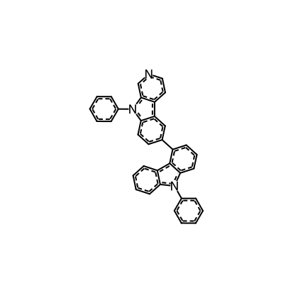 c1ccc(-n2c3ccc(-c4cccc5c4c4ccccc4n5-c4ccccc4)cc3c3ccncc32)cc1